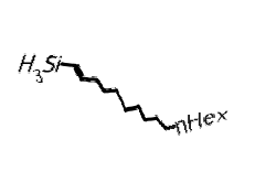 CCCCCCCCCCCCCCC=C[SiH3]